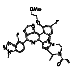 C=CC(=O)N1CCn2nc(-c3nc(-c4ccc5c(cnn5C)c4F)c4ccsc4c3-c3c(F)cc(F)cc3OCCOC)cc2C1C